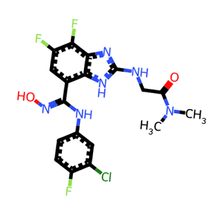 CN(C)C(=O)CNc1nc2c(F)c(F)cc(/C(=N\O)Nc3ccc(F)c(Cl)c3)c2[nH]1